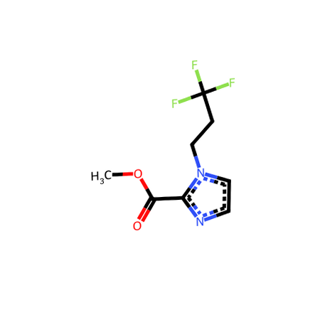 COC(=O)c1nccn1CCC(F)(F)F